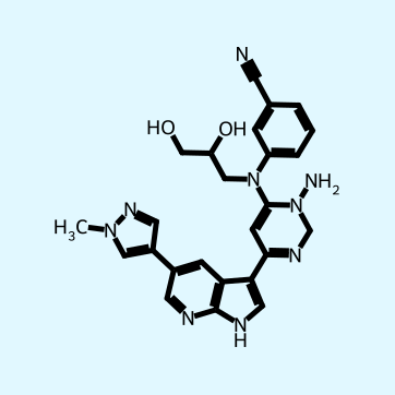 Cn1cc(-c2cnc3[nH]cc(C4=NCN(N)C(N(CC(O)CO)c5cccc(C#N)c5)=C4)c3c2)cn1